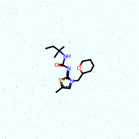 CCC(C)(C)NC(=O)N=c1sc(C)cn1CC1CCCCO1